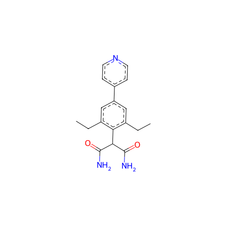 CCc1cc(-c2ccncc2)cc(CC)c1C(C(N)=O)C(N)=O